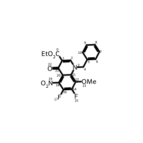 CCOC(=O)c1cn(Cc2ccccc2)c2c(OC)c(F)c(F)c([N+](=O)[O-])c2c1=O